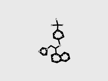 FC(F)(F)c1ccc(OC(Cn2ccnc2)c2cccc3ccccc23)cc1